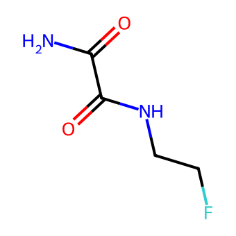 NC(=O)C(=O)NCCF